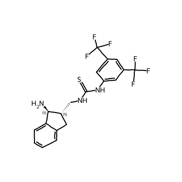 N[C@@H]1c2ccccc2C[C@H]1CNC(=S)Nc1cc(C(F)(F)F)cc(C(F)(F)F)c1